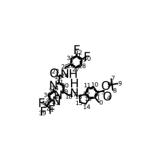 Cc1c(C(=O)OC(C)(C)C)ccc2c1CC[C@@H]2NCc1cc(C(=O)NCc2ccc(F)c(F)c2)nc2cc(C(F)(F)F)nn12